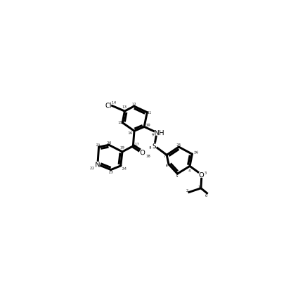 CC(C)Oc1ccc(SNc2ccc(Cl)cc2C(=O)c2ccncc2)cc1